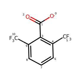 [O]C(=O)c1c(C(F)(F)F)cccc1C(F)(F)F